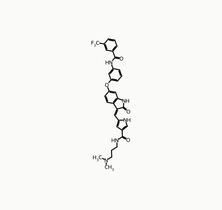 CN(C)CCCNC(=O)c1c[nH]c(/C=C2\C(=O)Nc3cc(Oc4cccc(NC(=O)c5cccc(C(F)(F)F)c5)c4)ccc32)c1